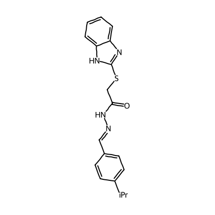 CC(C)c1ccc(/C=N/NC(=O)CSc2nc3ccccc3[nH]2)cc1